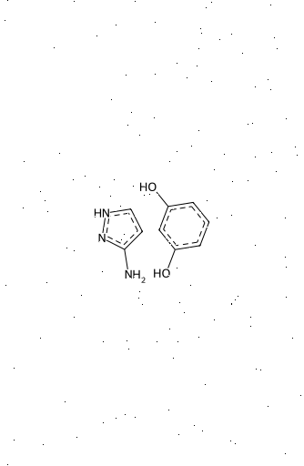 Nc1cc[nH]n1.Oc1cccc(O)c1